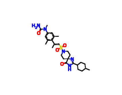 C/C(=C\S(=O)(=O)N1CCC2(CC1)N=C(C1CCC(C)CC1)NC2=O)c1c(C)cc(N(C)C(N)=O)cc1C